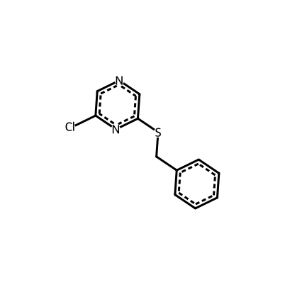 Clc1cncc(SCc2ccccc2)n1